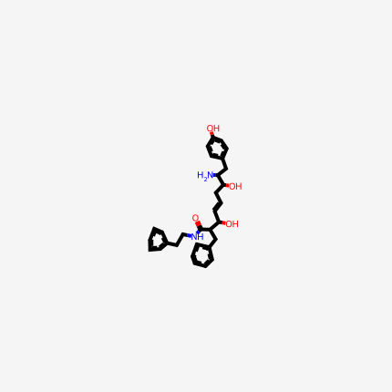 NC(Cc1ccc(O)cc1)C(O)CC=CC(O)C(Cc1ccccc1)C(=O)NCCc1ccccc1